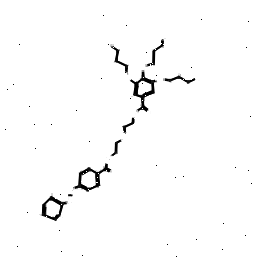 O=C(NCCOCCNC(=O)c1cc(OCCCS(=O)(=O)O)c(OCCCS(=O)(=O)O)c(OCCCS(=O)(=O)O)c1)c1ccc(/N=N/c2ccccc2)cc1